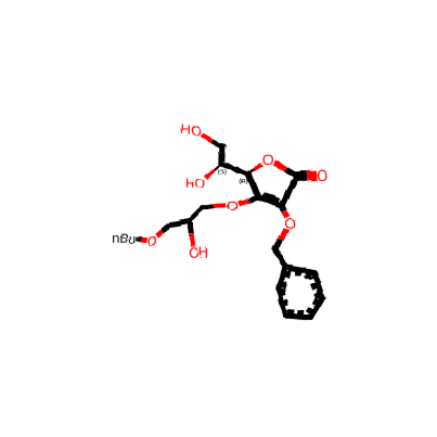 CCCCOCC(O)COC1=C(OCc2ccccc2)C(=O)O[C@@H]1[C@@H](O)CO